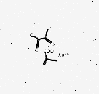 C=C(C)C(=O)[O-].CC(=O)C(=O)[O-].[Cu+2]